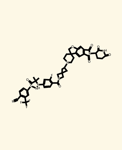 CC1(C)C(=O)[SH](c2ccc(C#N)c(C(F)(F)F)c2)NN1c1ccc(C(=O)N2CC3(CC(N4CCC5(CC4)COc4cc6c(cc45)C(=O)N(C4CCC(=O)NC4=O)C6=O)C3)C2)c(F)c1